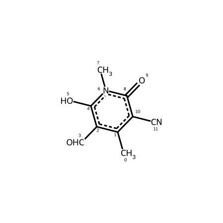 Cc1c(C=O)c(O)n(C)c(=O)c1C#N